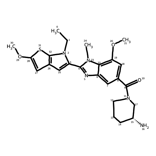 CCn1c(-c2nc3cc(C(=O)N4CCC[C@@H](N)C4)cc(OC)c3n2C)cc2cc(OC)sc21